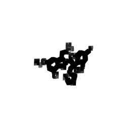 CCc1c2cc(C)cc(Cl)c2nn1[C@H](C)[C@](O)(Cn1cncn1)c1ccc(F)cc1F